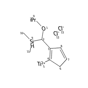 CC(C)OC(C1=[C]([Ti+2])CC=C1)[SiH](C)C.[Cl-].[Cl-]